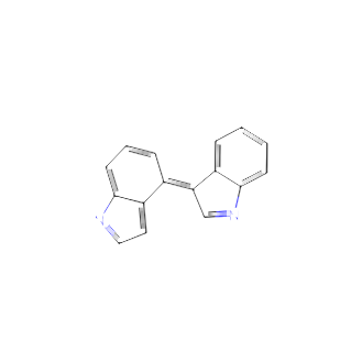 C1=Nc2ccccc2C1=c1cccc2c1=CC=N2